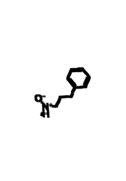 C[NH+]([O-])CCCc1ccccc1